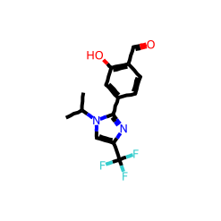 CC(C)n1cc(C(F)(F)F)nc1-c1ccc(C=O)c(O)c1